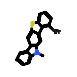 CC(C)c1cccc2sc3cc4c5ccccc5n(C)c4cc3c12